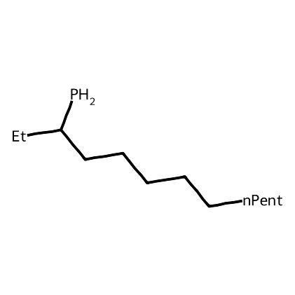 CCCCCCCCCCC(P)CC